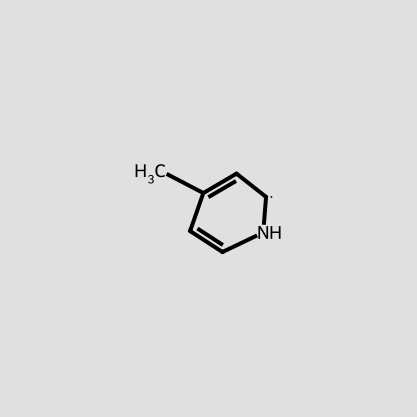 CC1=C[CH]NC=C1